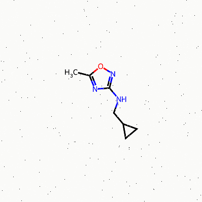 Cc1nc(NCC2CC2)no1